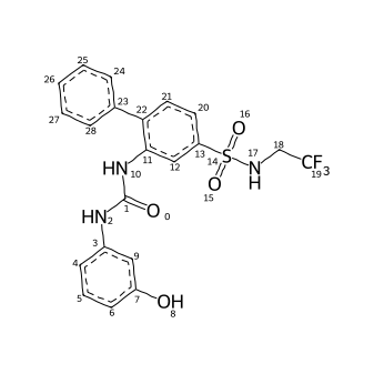 O=C(Nc1cccc(O)c1)Nc1cc(S(=O)(=O)NCC(F)(F)F)ccc1-c1ccccc1